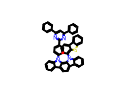 c1ccc(-c2cc(-c3ccccc3)nc(-c3ccc(-n4c5ccccc5c5ccc6c7ccccc7n(-c7cccc8c7sc7ccccc78)c6c54)cc3)n2)cc1